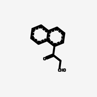 O=CCC(=O)c1cccc2ccccc12